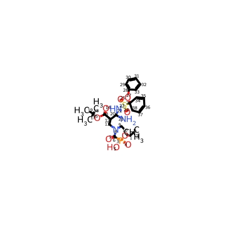 CCOP(=O)(O)C(=O)N(CC)CC(C(=O)OC(C)(C)C)C(N)NS(=O)(=O)C1(Oc2ccccc2)C=CC=CC1